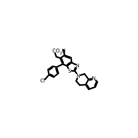 Cc1cc2nc(N3CCc4cccnc4C3)sc2c(-c2ccc(Cl)cc2)c1CC(=O)O